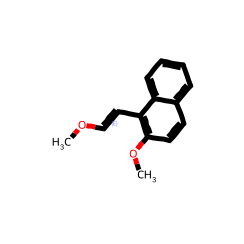 CO/C=C/c1c(OC)ccc2ccccc12